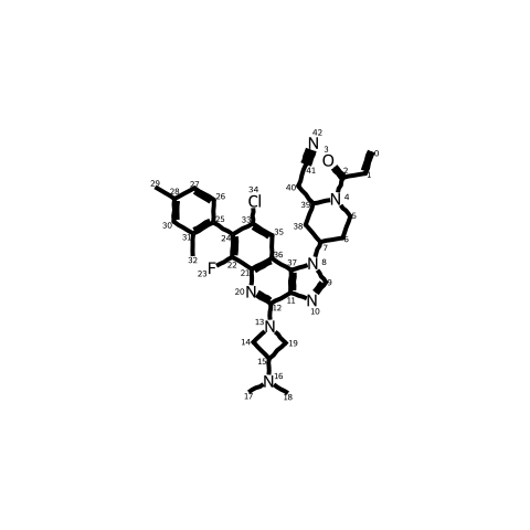 C=CC(=O)N1CCC(n2cnc3c(N4CC(N(C)C)C4)nc4c(F)c(-c5ccc(C)cc5C)c(Cl)cc4c32)CC1CC#N